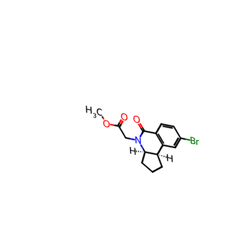 COC(=O)CN1C(=O)c2ccc(Br)cc2[C@H]2CCC[C@H]21